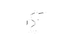 COc1ccc2cnc(=O)oc2c1